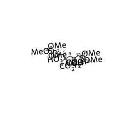 CO[Si](CC(O)CC(CC(=O)O)(CC(O)C[Si](OC)(OC)OC)C(=O)O)(OC)OC